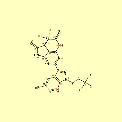 CC(F)(F)CCn1nc(-c2nc3c4c(n2)NC(=O)[C@]4(C)C(F)(F)C(=O)N3)c2cc(F)cnc21